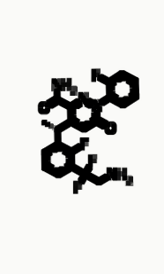 C[C@H](c1cc(=O)n(-c2ccccc2F)nc1C(N)=O)c1cccc(C(F)(F)CN)c1F